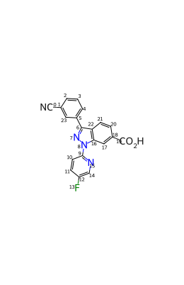 N#Cc1cccc(-c2nn(-c3ccc(F)cn3)c3cc(C(=O)O)ccc23)c1